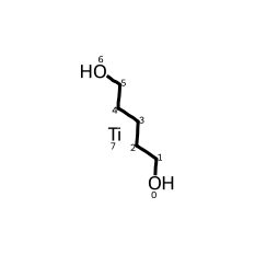 OCCCCCO.[Ti]